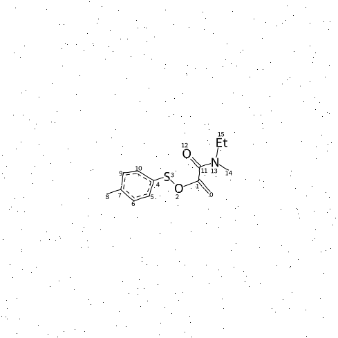 C=C(OSc1ccc(C)cc1)C(=O)N(C)CC